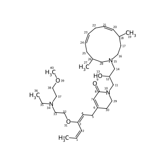 C/C=C\C(=C/CC1=CC(=O)N(CC(O)CN2CCC(C)/C=C\C/C=C\CC(C)C2)CC1)OCCN(CC)CCOC